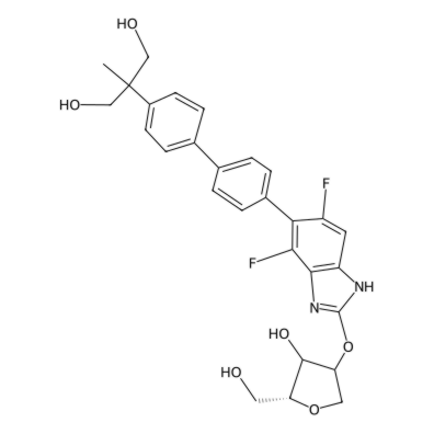 CC(CO)(CO)c1ccc(-c2ccc(-c3c(F)cc4[nH]c(OC5CO[C@H](CO)C5O)nc4c3F)cc2)cc1